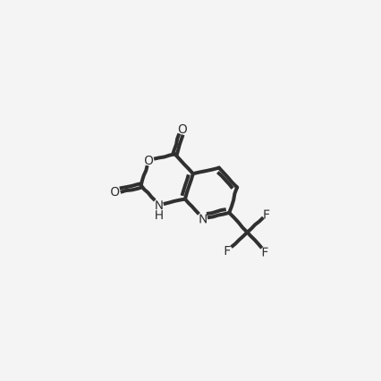 O=c1[nH]c2nc(C(F)(F)F)ccc2c(=O)o1